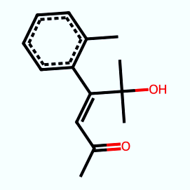 CC(=O)/C=C(/c1ccccc1C)C(C)(C)O